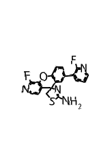 NC1=NC2(CS1)c1cc(-c3cccnc3F)ccc1Oc1c2ccnc1F